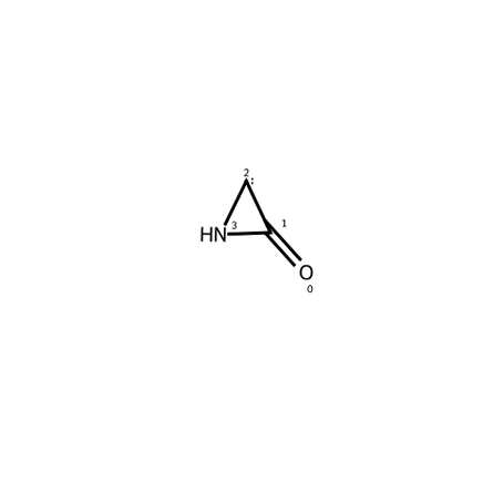 O=C1[C]N1